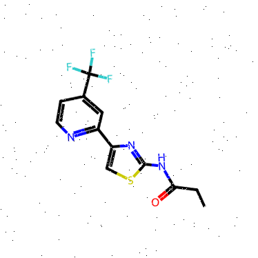 CCC(=O)Nc1nc(-c2cc(C(F)(F)F)ccn2)cs1